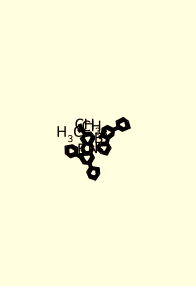 CC(C)(C)c1cc2c3c(c1)B1c4ccccc4-c4cc(-c5ccccc5)cc(c41)N3c1cccc3c1B2c1ccc(-c2ccccc2)cc1-3